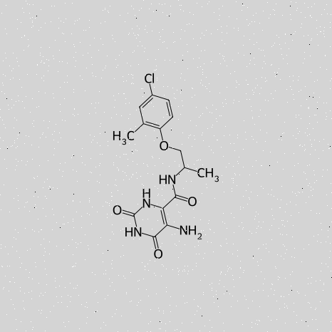 Cc1cc(Cl)ccc1OCC(C)NC(=O)c1[nH]c(=O)[nH]c(=O)c1N